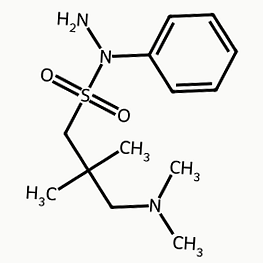 CN(C)CC(C)(C)CS(=O)(=O)N(N)c1ccccc1